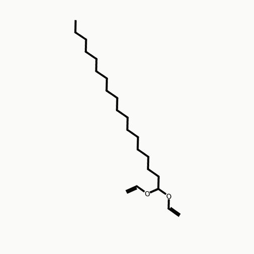 C=COC(CCCCCCCCCCCCCCCCC)OC=C